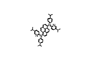 CC(C)c1ccc(N(c2ccc(C(C)C)cn2)c2ccc3ccc4c(N(c5ccc(C(C)C)cc5)c5ccc(C(C)C)cn5)ccc5ccc2c3c54)cc1